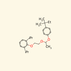 CCC(C)(C)c1ccc(OC(C)OCCOc2c(C(C)C)cccc2C(C)C)cc1